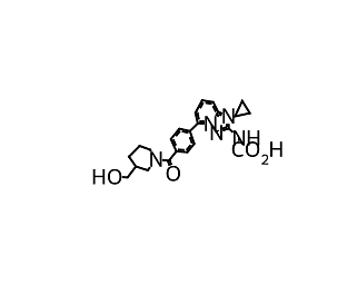 C1CC1.O=C(O)Nc1nc2cccc(-c3ccc(C(=O)N4CCCC(CO)C4)cc3)n2n1